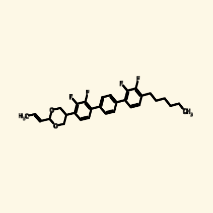 C/C=C/C1OCC(c2ccc(-c3ccc(-c4ccc(CCCCCC)c(F)c4F)cc3)c(F)c2F)CO1